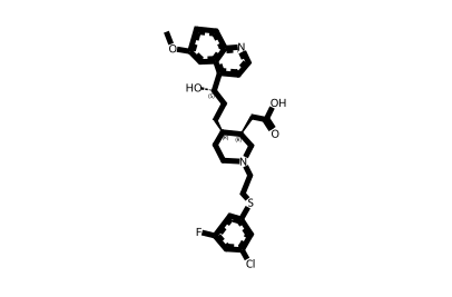 COc1ccc2nccc([C@@H](O)CC[C@@H]3CCN(CCSc4cc(F)cc(Cl)c4)C[C@@H]3CC(=O)O)c2c1